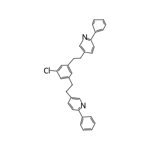 Clc1cc(CCc2ccc(-c3ccccc3)nc2)cc(CCc2ccc(-c3ccccc3)nc2)c1